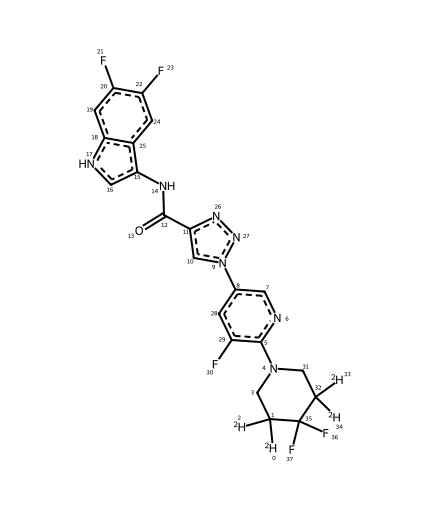 [2H]C1([2H])CN(c2ncc(-n3cc(C(=O)Nc4c[nH]c5cc(F)c(F)cc45)nn3)cc2F)CC([2H])([2H])C1(F)F